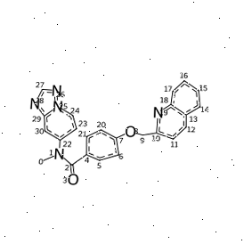 CN(C(=O)c1ccc(OCc2ccc3ccccc3n2)cc1)c1ccn2ncnc2c1